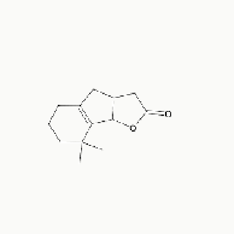 CC1(C)CCCC2=C1C1OC(=O)CC1C2